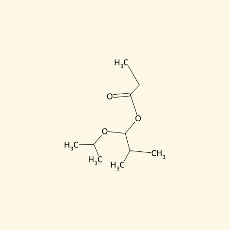 CCC(=O)OC(OC(C)C)C(C)C